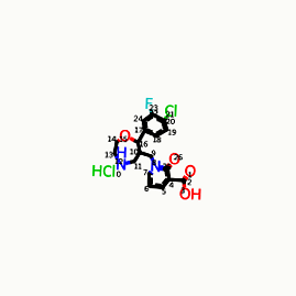 Cl.O=C(O)c1cccn(CC2CNCCOC2c2ccc(Cl)c(F)c2)c1=O